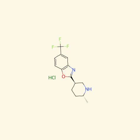 C[C@@H]1CC[C@@H](c2nc3cc(C(F)(F)F)ccc3o2)CN1.Cl